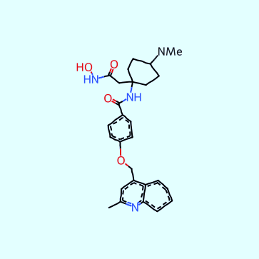 CNC1CCC(CC(=O)NO)(NC(=O)c2ccc(OCc3cc(C)nc4ccccc34)cc2)CC1